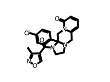 Cc1nocc1C(=O)N1CCN2Cc3cccc(=O)n3CC21c1ccc(Cl)cc1